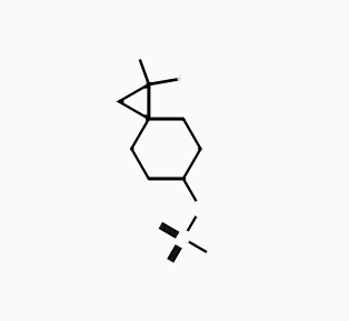 O=S(=O)(OC1CCC2(CC1)CC2(F)F)C(F)(F)F